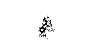 CCCOC(=O)C(=Cc1ccc(N)cc1)C(=O)OCCC